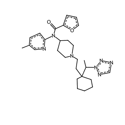 Cc1ccc(N(C(=O)c2ccco2)C2CCN(CCC3(C(C)n4ncnn4)CCCCC3)CC2)nc1